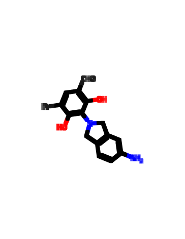 CC(C)c1cc(C=O)c(O)c(N2Cc3ccc(N)cc3C2)c1O